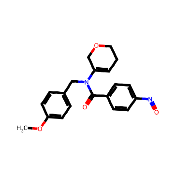 COc1ccc(CN(C(=O)c2ccc(N=O)cc2)C2=CCCOC2)cc1